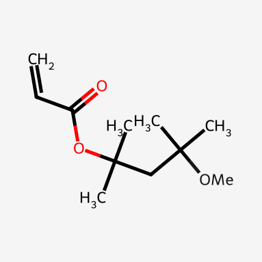 C=CC(=O)OC(C)(C)CC(C)(C)OC